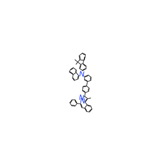 Cc1c(-c2ccc(-c3cccc(N(c4ccc5c(c4)C(C)(C)c4ccccc4-5)c4cccc5ccccc45)c3)cc2)nn2c(-c3ccccc3)cc3ccccc3c12